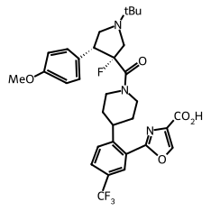 COc1ccc([C@@H]2CN(C(C)(C)C)C[C@@]2(F)C(=O)N2CCC(c3ccc(C(F)(F)F)cc3-c3nc(C(=O)O)co3)CC2)cc1